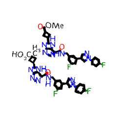 CC1(C(=O)O)CC(c2nc3ncnc(C(=O)NCc4cc(F)cc(-c5cnn(-c6ccc(F)cc6)c5)c4)c3[nH]2)C1.COC(=O)C1CC(c2nc3ncnc(C(=O)NCc4cc(F)cc(-c5cnn(-c6ccc(F)cc6)c5)c4)c3[nH]2)C1